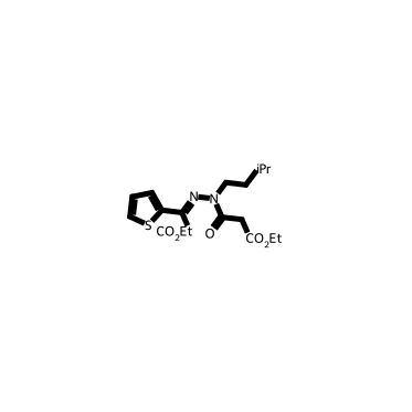 CCOC(=O)CC(=O)N(CCC(C)C)N=C(C(=O)OCC)c1cccs1